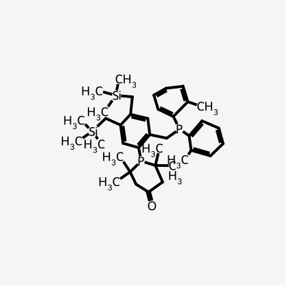 Cc1ccccc1P(Cc1cc(C[Si](C)(C)C)c(C[Si](C)(C)C)cc1P1C(C)(C)CC(=O)CC1(C)C)c1ccccc1C